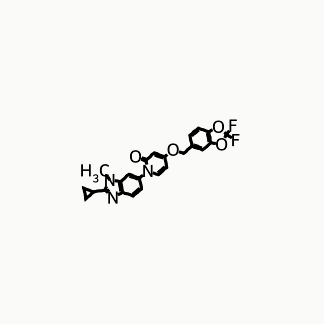 Cn1c(C2CC2)nc2ccc(-n3ccc(OCc4ccc5c(c4)OC(F)(F)O5)cc3=O)cc21